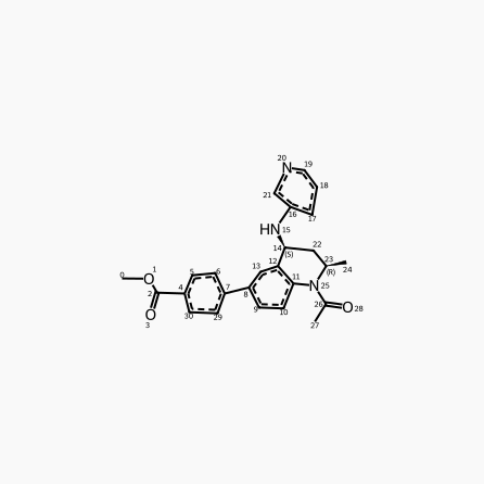 COC(=O)c1ccc(-c2ccc3c(c2)[C@@H](Nc2cccnc2)C[C@@H](C)N3C(C)=O)cc1